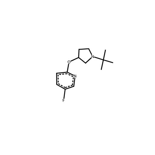 CC(C)(C)N1CCC(Oc2ccc(F)cn2)C1